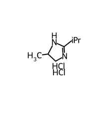 CC1CN=C(C(C)C)N1.Cl.Cl